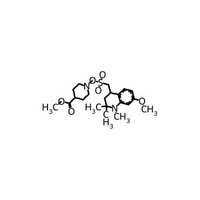 COC(=O)C1CCN(OS(=O)(=O)CC2CC(C)(C)N(C)c3cc(OC)ccc32)CC1